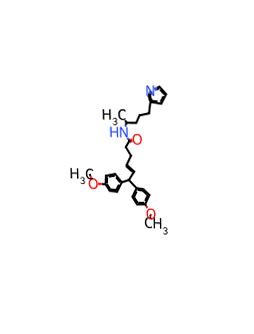 COc1ccc(C(C=CCCC(=O)NC(C)CCCc2cccnc2)c2ccc(OC)cc2)cc1